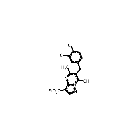 CCOC(=O)c1cnn2c(O)c(Cc3ccc(Cl)c(Cl)c3)c(C)nc12